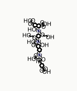 O=C(O)C1=NN(c2ccc(S(=O)(=O)O)cc2)C(=O)C1/N=N/c1ccc2c(O)c(/N=N/c3cc(OCCO)c(/N=N/c4cc(S(=O)(=O)O)cc5cc(S(=O)(=O)O)cc(O)c45)cc3OCCO)c(S(=O)(=O)O)cc2c1